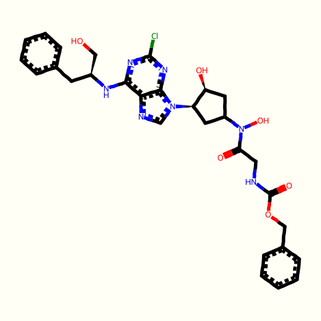 O=C(NCC(=O)N(O)C1C[C@@H](n2cnc3c(N[C@H](CO)Cc4ccccc4)nc(Cl)nc32)[C@@H](O)C1)OCc1ccccc1